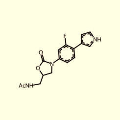 CC(=O)NCC1CN(c2ccc(-c3cc[nH]c3)c(F)c2)C(=O)O1